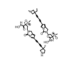 CCC1(C#CC#Cc2cc3n(c2)C(=O)N(CCC(C)(C(=O)NO)S(C)(=O)=O)C3)CN(C)C1.C[C@@](CCN1Cc2cc(C#CC#CC3(F)CCNC3)cn2C1=O)(C(=O)NO)S(C)(=O)=O